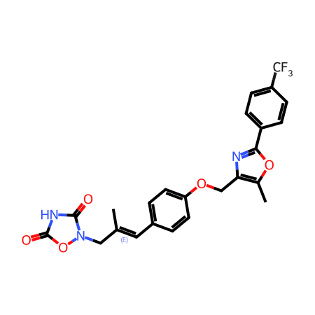 C/C(=C\c1ccc(OCc2nc(-c3ccc(C(F)(F)F)cc3)oc2C)cc1)Cn1oc(=O)[nH]c1=O